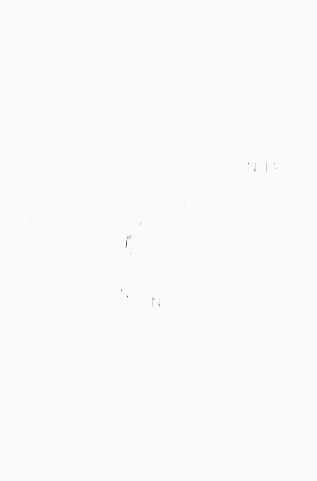 CC(=O)Nc1ccc(OC[C@H]2CCC[C@H](OC(Cn3ccnc3)c3ccc(Cl)cc3Cl)O2)cc1